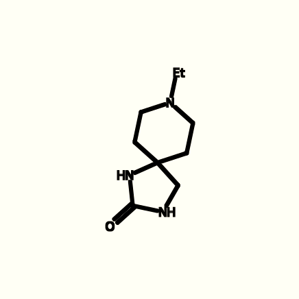 CCN1CCC2(CC1)CNC(=O)N2